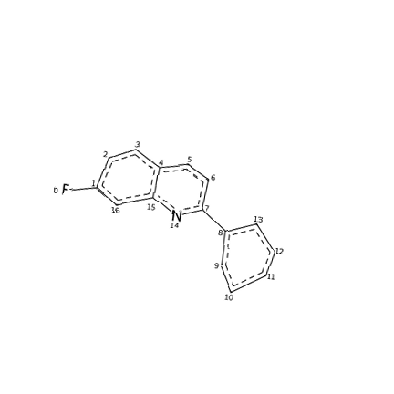 Fc1ccc2ccc(-c3ccccc3)nc2c1